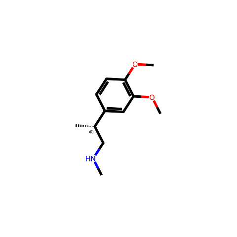 CNC[C@H](C)c1ccc(OC)c(OC)c1